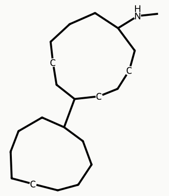 CNC1CCCCCC(C2CCCCCCCCC2)CCCC1